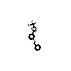 FC(F)(Cl)c1nc(-c2cc[c]c(OCc3ccccc3)c2)no1